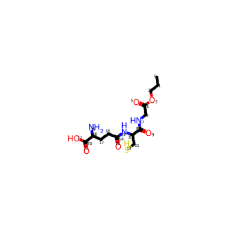 CCCOC(=O)CNC(=O)C(CS)NC(=O)CCC(N)C(=O)O